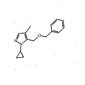 Ic1cnn(C2CC2)c1COCc1ccccc1